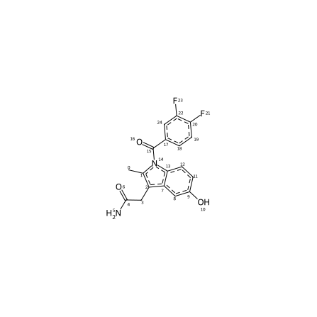 Cc1c(CC(N)=O)c2cc(O)ccc2n1C(=O)c1ccc(F)c(F)c1